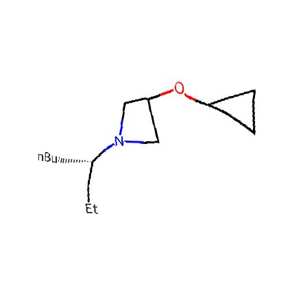 CCCC[C@@H](CC)N1CC(OC2CC2)C1